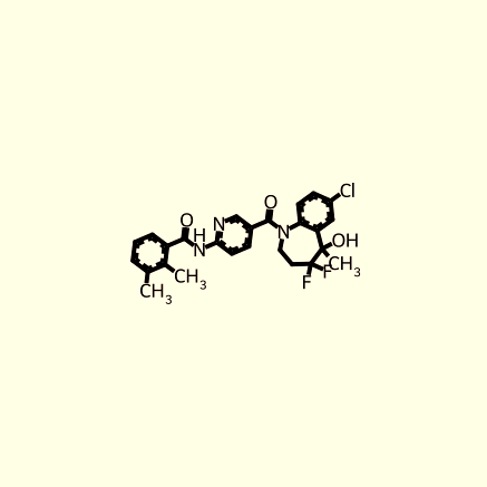 Cc1cccc(C(=O)Nc2ccc(C(=O)N3CCC(F)(F)C(C)(O)c4cc(Cl)ccc43)cn2)c1C